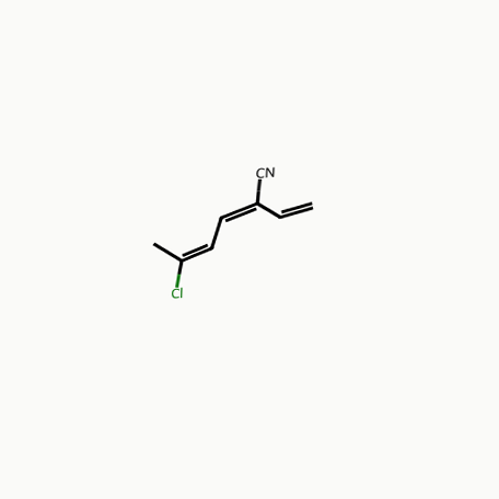 C=C/C(C#N)=C\C=C(/C)Cl